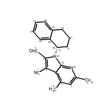 Cc1cc(C)c2c(C#N)c(C=O)n([C@H]3CCCc4ccccc43)c2n1